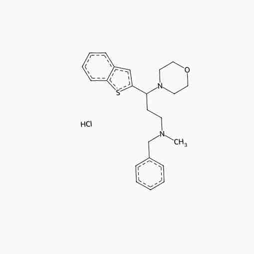 CN(CCC(c1cc2ccccc2s1)N1CCOCC1)Cc1ccccc1.Cl